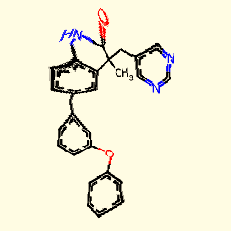 CC1(Cc2cncnc2)C(=O)Nc2ccc(-c3cccc(Oc4ccccc4)c3)cc21